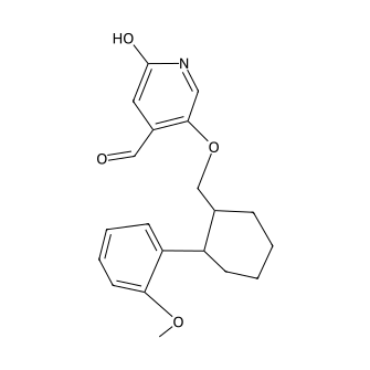 COc1ccccc1C1CCCCC1COc1cnc(O)cc1C=O